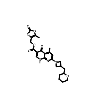 Cc1oc(=O)oc1COC(=O)c1c[nH]c2nc(N3CC(CC4CCCCO4)C3)cc(C)c2c1=O